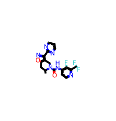 CC1Cc2onc(-c3ncccn3)c2CN1C(=O)Nc1ccnc(C(F)F)c1F